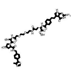 Cc1ncsc1-c1ccc(CNC(=O)C2C[C@@H](O)CN2C(=O)C(NC(=O)COCCOCCNC(=O)CC[C@H](NC(=O)c2ccc(CCC3=CNC4N=C(N)NC(=O)C34)cc2)C(=O)OC(C)(C)C)C(C)(C)C)cc1